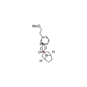 COCCc1cccc(O[C@H]2C[C@H]3CC[C@@H](C2)N3C(=O)OC(C)(C)C)c1